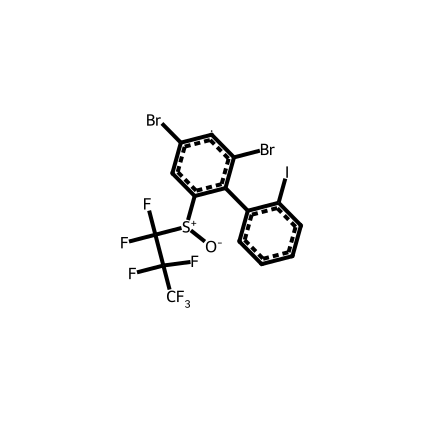 [O-][S+](c1cc(Br)[c]c(Br)c1-c1ccccc1I)C(F)(F)C(F)(F)C(F)(F)F